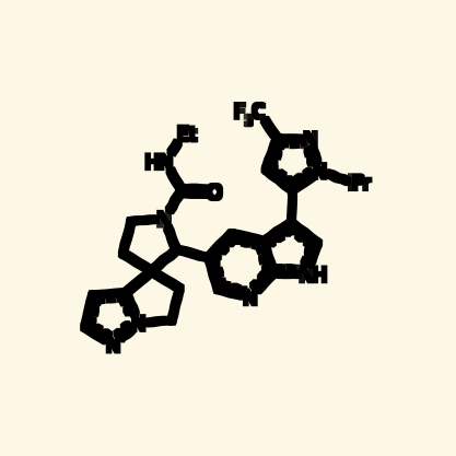 CCNC(=O)N1CCC2(CCn3nccc32)C1c1cnc2[nH]cc(-c3cc(C(F)(F)F)nn3C(C)C)c2c1